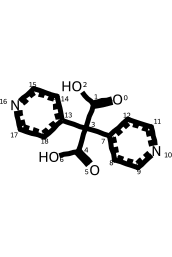 O=C(O)C(C(=O)O)(c1ccncc1)c1ccncc1